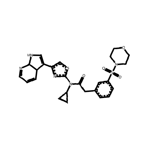 O=C(Cc1cccc(S(=O)(=O)N2CCOCC2)c1)N(c1nc(C2=CNC3N=CC=CC23)cs1)C1CC1